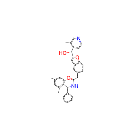 Cc1ccc(C(NC(=O)Cc2ccc3oc(C(O)c4ccncc4C)cc3c2)c2ccccc2)c(C)c1